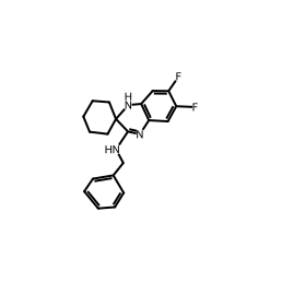 Fc1cc2c(cc1F)NC1(CCCCC1)C(NCc1ccccc1)=N2